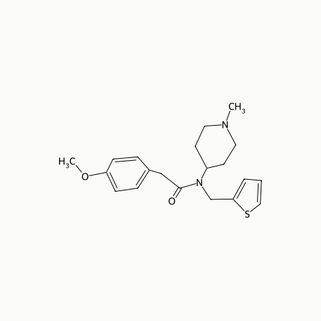 COc1ccc(CC(=O)N(Cc2cccs2)C2CCN(C)CC2)cc1